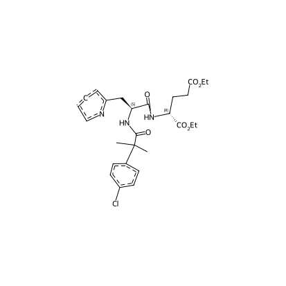 CCOC(=O)CC[C@@H](NC(=O)[C@H](Cc1ccccn1)NC(=O)C(C)(C)c1ccc(Cl)cc1)C(=O)OCC